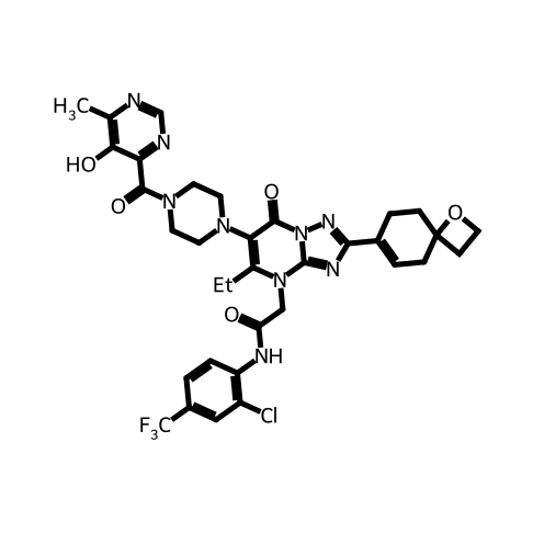 CCc1c(N2CCN(C(=O)c3ncnc(C)c3O)CC2)c(=O)n2nc(C3=CCC4(CCO4)CC3)nc2n1CC(=O)Nc1ccc(C(F)(F)F)cc1Cl